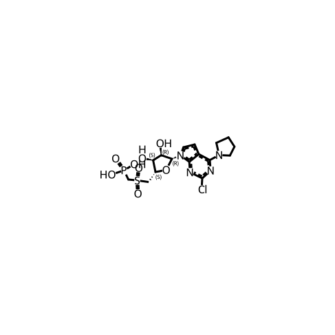 O=P(O)(O)CS(=O)(=O)C[C@H]1O[C@@H](n2ccc3c(N4CCCC4)nc(Cl)nc32)[C@H](O)[C@@H]1O